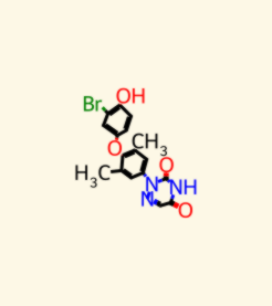 Cc1cc(-n2ncc(=O)[nH]c2=O)cc(C)c1Oc1ccc(O)c(Br)c1